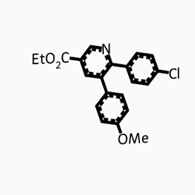 CCOC(=O)c1cnc(-c2ccc(Cl)cc2)c(-c2ccc(OC)cc2)c1